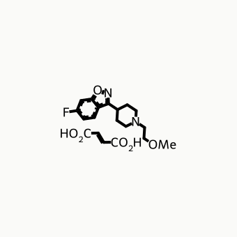 COCCN1CCC(c2noc3cc(F)ccc23)CC1.O=C(O)C=CC(=O)O